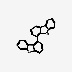 [c]1cc(-c2cccc3[nH]c4ccccc4c23)c2[nH]c3ccccc3c2c1